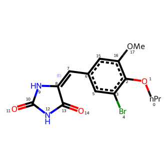 CCCOc1c(Br)cc(/C=C2/NC(=O)NC2=O)cc1OC